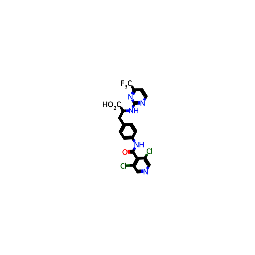 O=C(Nc1ccc(CC(Nc2nccc(C(F)(F)F)n2)C(=O)O)cc1)c1c(Cl)cncc1Cl